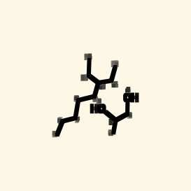 CC(O)CO.CCCCCC(CC)CC